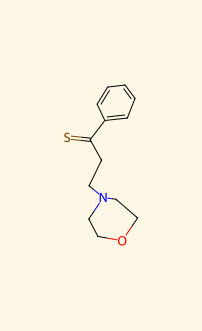 S=C(CCN1CCOCC1)c1ccccc1